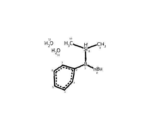 CCCCB(c1ccccc1)[SiH](C)C.O.O